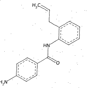 C=CCc1ccccc1NC(=O)c1ccc(N)cc1